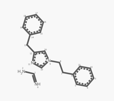 N=CN.c1ccc(CCn2cnc(Cc3ccccc3)c2)cc1